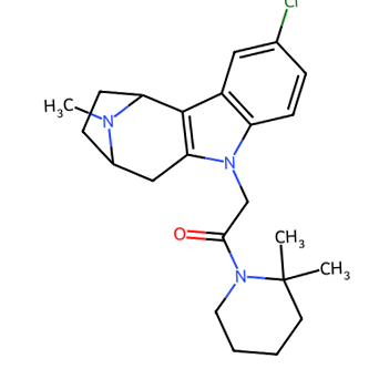 CN1C2CCC1c1c(n(CC(=O)N3CCCCC3(C)C)c3ccc(Cl)cc13)C2